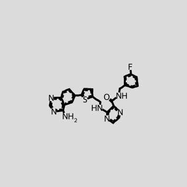 Nc1ncnc2ccc(-c3ccc(CNc4nccnc4C(=O)NCc4cccc(F)c4)s3)cc12